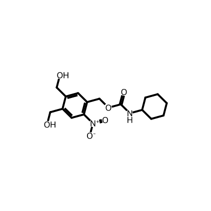 O=C(NC1CCCCC1)OCc1cc(CO)c(CO)cc1[N+](=O)[O-]